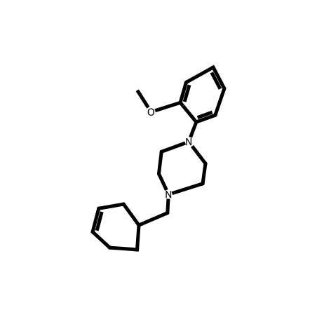 COc1ccccc1N1CCN(CC2CC=CCC2)CC1